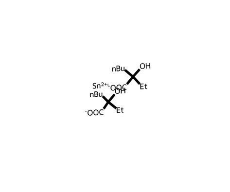 CCCCC(O)(CC)C(=O)[O-].CCCCC(O)(CC)C(=O)[O-].[Sn+2]